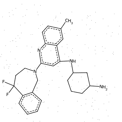 Cc1ccc2nc(N3CCC(F)(F)c4ccccc4C3)cc(NC3CCCC(N)C3)c2c1